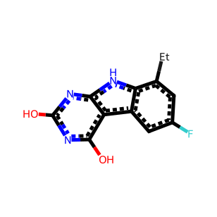 CCc1cc(F)cc2c1[nH]c1nc(O)nc(O)c12